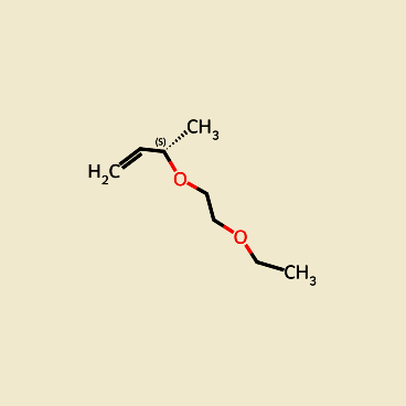 C=C[C@H](C)OCCOCC